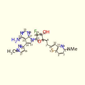 CNc1ccc2sc(CC[C@H]3O[C@@H](n4cc(-c5ccn(C)n5)c5c(N)ncnc54)[C@@H](F)[C@@H]3O)cc2n1